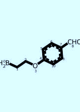 BCCOc1ccc(C=O)cc1